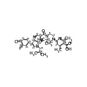 Cc1cc(N2CCN(C(=O)c3cnc4c(-c5ccc(Cl)c(F)c5)cn(CC(C)C)c4n3)C(C)(C)C2)nc(C)c1C(=O)O